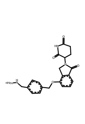 CCCCCCNCc1ccc(COc2cccc3c2CN(C2CCC(=O)NC2=O)C3=O)cc1